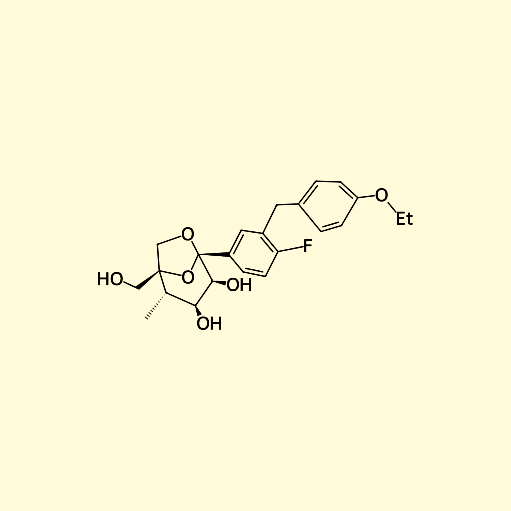 CCOc1ccc(Cc2cc([C@]34OC[C@](CO)(O3)[C@@H](C)[C@H](O)[C@@H]4O)ccc2F)cc1